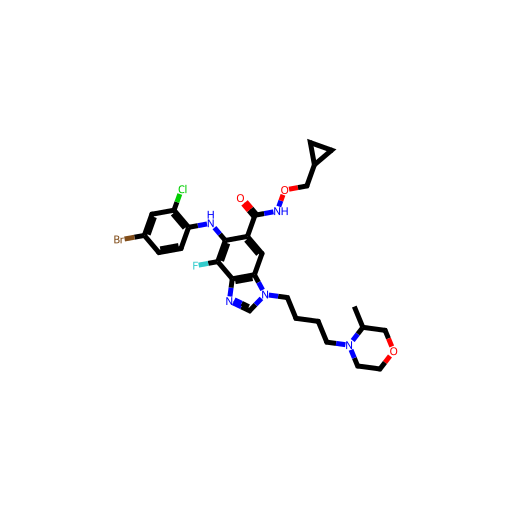 CC1COCCN1CCCCn1cnc2c(F)c(Nc3ccc(Br)cc3Cl)c(C(=O)NOCC3CC3)cc21